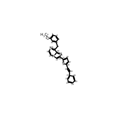 COc1cccc(Cc2nccn3[c]c(-c4ccc(C#Cc5ccccc5)s4)nc23)c1